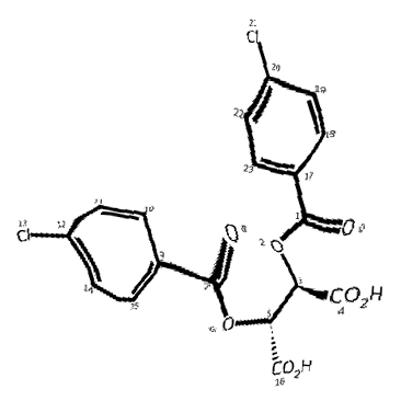 O=C(O[C@@H](C(=O)O)[C@@H](OC(=O)c1ccc(Cl)cc1)C(=O)O)c1ccc(Cl)cc1